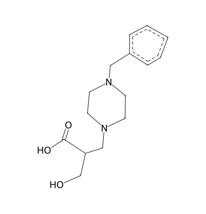 O=C(O)C(CO)CN1CCN(Cc2ccccc2)CC1